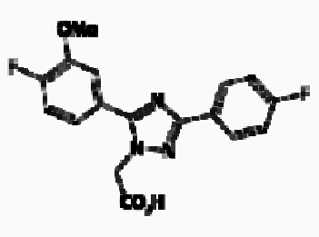 COc1cc(-c2nc(-c3ccc(F)cc3)nn2CC(=O)O)ccc1F